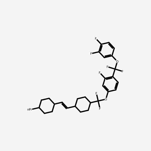 CCCC1CCC(/C=C/C2CCC(C(F)(F)Oc3ccc(C(F)(F)Oc4ccc(F)c(F)c4)c(F)c3)CC2)CC1